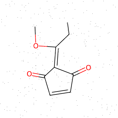 CCC(OC)=C1C(=O)C=CC1=O